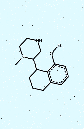 CCOc1cccc2c1C(C1CNCCN1C)CCC2